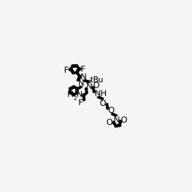 CC(C)(C)[C@@H](c1nc(-c2cc(F)ccc2F)cn1Cc1ccccc1)N(CC[C@@H](N)CF)C(=O)CNCCOCCOCCN1C(=O)C=CC1=O